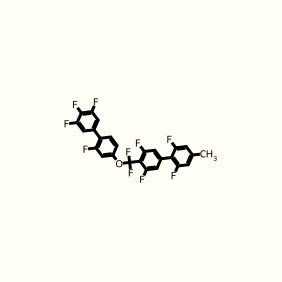 Cc1cc(F)c(-c2cc(F)c(C(F)(F)Oc3ccc(-c4cc(F)c(F)c(F)c4)c(F)c3)c(F)c2)c(F)c1